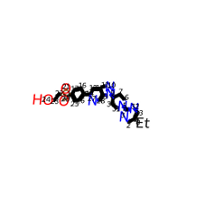 CCc1cnc(N2CCC(n3ncc4cc(-c5ccc(S(=O)(=O)CCO)cc5)ncc43)CC2)nc1